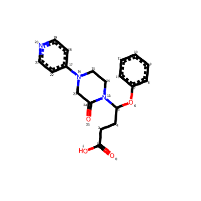 O=C(O)CCC(Oc1ccccc1)N1CCN(c2ccncc2)CC1=O